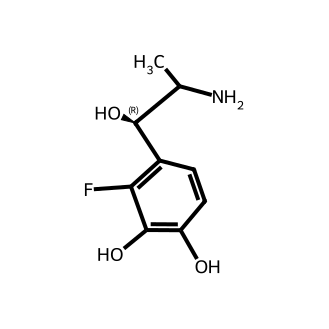 CC(N)[C@H](O)c1ccc(O)c(O)c1F